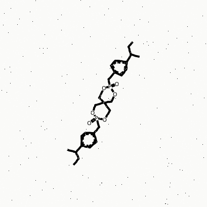 CCC(C)c1ccc(CP2(=O)OCC3(CO2)COP(=O)(Cc2ccc(C(C)CC)cc2)OC3)cc1